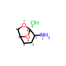 Cl.NC1CCC2COC1O2